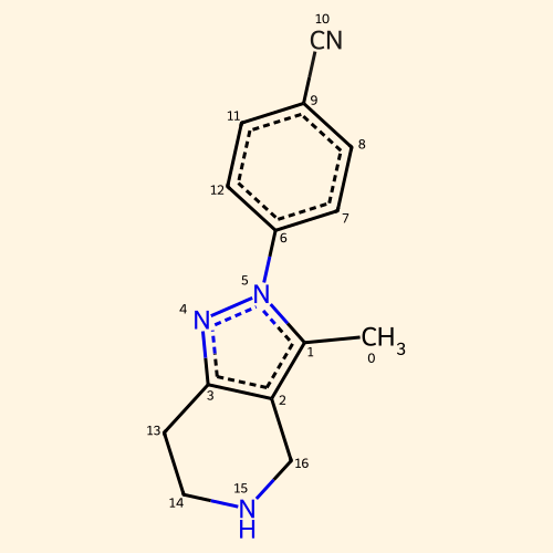 Cc1c2c(nn1-c1ccc(C#N)cc1)CCNC2